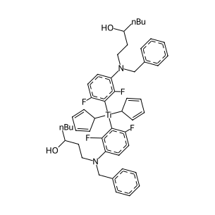 CCCCC(O)CCN(Cc1ccccc1)c1ccc(F)[c]([Ti]([c]2c(F)ccc(N(CCC(O)CCCC)Cc3ccccc3)c2F)([CH]2C=CC=C2)[CH]2C=CC=C2)c1F